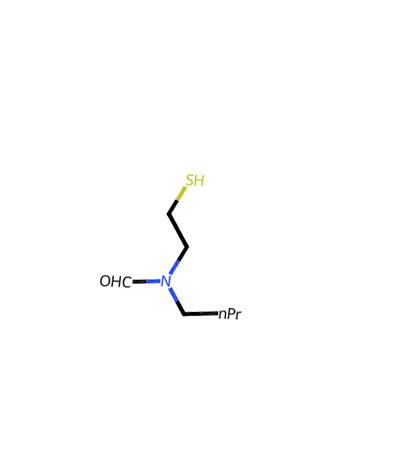 CCCCN(C=O)CCS